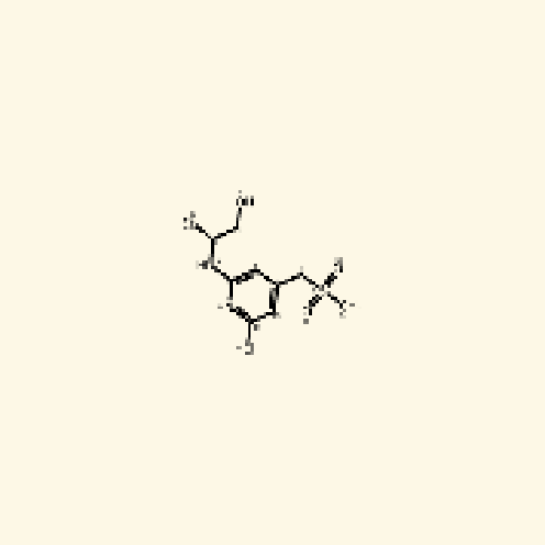 CC[C@@H](CO)Nc1cc(CS(C)(=O)=O)cc(Cl)n1